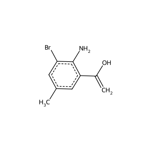 C=C(O)c1cc(C)cc(Br)c1N